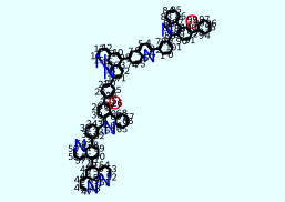 c1cc(-c2ccc3cc(-c4cc5cccnc5c5nc(-c6ccc7c(c6)oc6c7ccc7c(-c8cccc(-c9ccc(-c%10cc%11cccnc%11c%11ncccc%10%11)c%10cccnc9%10)c8)nc8ccccc8c76)ccc45)ccc3n2)cc(-c2nc3ccccc3c3c2ccc2c4ccccc4oc23)c1